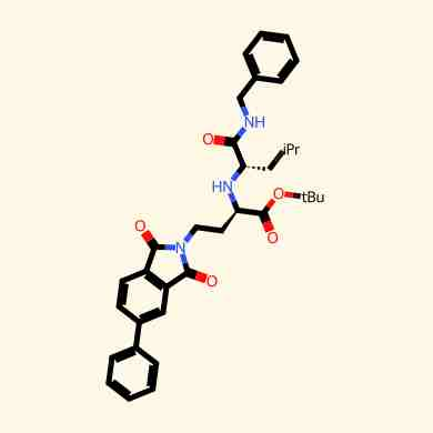 CC(C)C[C@H](N[C@H](CCN1C(=O)c2ccc(-c3ccccc3)cc2C1=O)C(=O)OC(C)(C)C)C(=O)NCc1ccccc1